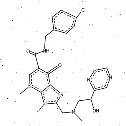 Cc1c(CN(C)CC(O)c2cnccn2)sc2c(=O)c(C(=O)NCc3ccc(Cl)cc3)cn(C)c12